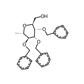 C[C@@H]1O[C@@H](CO)[C@H](OCc2ccccc2)[C@H](OCc2ccccc2)[C@H]1OCc1ccccc1